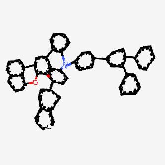 c1ccc(-c2ccc(-c3ccc(N(c4ccc(-c5ccc6ccccc6c5)cc4)c4ccccc4-c4ccc5c(c4)-c4cccc6cccc(c46)O5)cc3)cc2-c2ccccc2)cc1